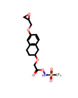 O=C(COC1CCc2cc(OCC3CO3)ccc2C1)ONS(=O)(=O)C(F)(F)F